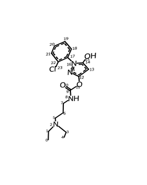 CCN(CC)CCCNC(=O)Oc1cc(O)n(-c2ccccc2Cl)n1